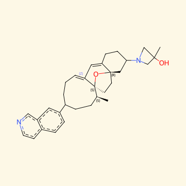 C[C@H]1CCC(c2ccc3ccncc3c2)CC/C=C2/C=C3CCC(N4CC(C)(O)C4)C[C@]34CC[C@@]21O4